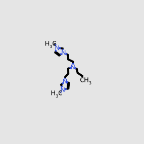 CCCCN(CCCN1C=CN(C)C1)CCCN1C=CN(C)C1